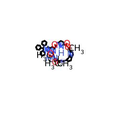 CC(C)C1NC(=O)C(C)(C)/C=C/c2ccc3ccc(nc3c2)[C@@H](C)OC(=O)C2CCCN(N2)C(=O)C(Cc2cn(C(c3ccccc3)(c3ccccc3)c3ccccc3)cn2)NC1=O